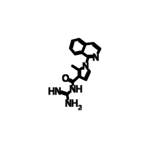 Cc1c(C(=O)NC(=N)N)ccn1-c1nccc2ccccc12